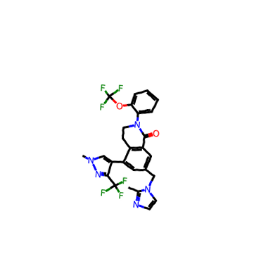 Cc1nccn1Cc1cc2c(c(-c3cn(C)nc3C(F)(F)F)c1)CCN(c1ccccc1OC(F)(F)F)C2=O